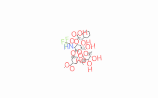 CCC1CC(C(=O)OC)C[C@@H](O[C@@H]2O[C@@H](CO)C(O)C(O[C@@H](CC3CCCCC3)C(=O)O)C2NC(=O)C(F)(F)F)C1OC1O[C@@H](C)C(O)C(O)[C@@H]1O